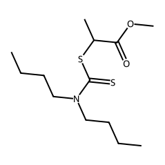 CCCCN(CCCC)C(=S)SC(C)C(=O)OC